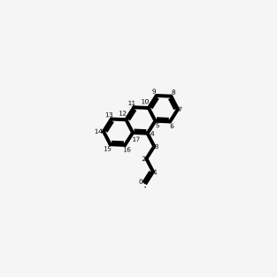 [CH]=CCCc1c2ccccc2cc2ccccc12